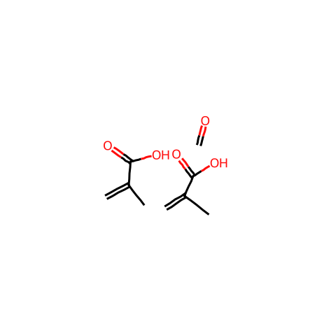 C=C(C)C(=O)O.C=C(C)C(=O)O.C=O